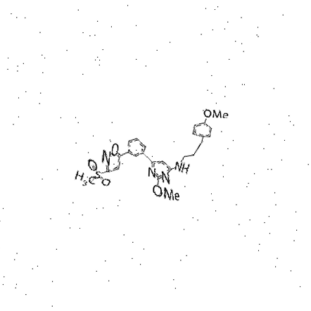 COc1ccc(CCNc2cc(-c3cccc(-c4cc(S(C)(=O)=O)no4)c3)nc(OC)n2)cc1